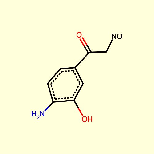 Nc1ccc(C(=O)CN=O)cc1O